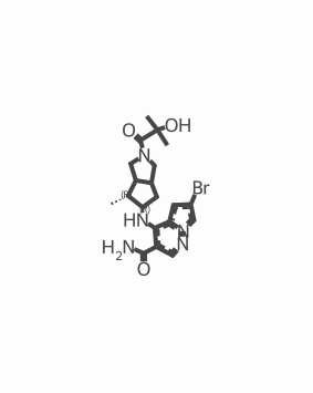 C[C@@H]1C2CN(C(=O)C(C)(C)O)CC2C[C@H]1Nc1c(C(N)=O)cnn2cc(Br)cc12